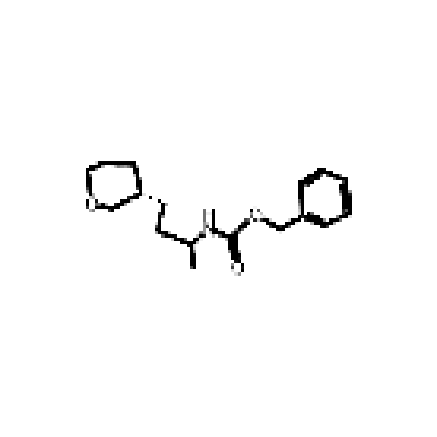 CC(CC[C@H]1CCCOC1)NC(=O)OCc1ccccc1